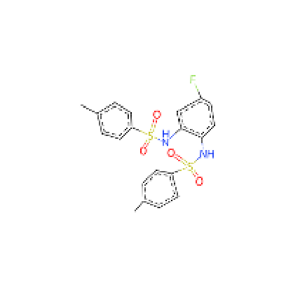 Cc1ccc(S(=O)(=O)Nc2ccc(F)cc2NS(=O)(=O)c2ccc(C)cc2)cc1